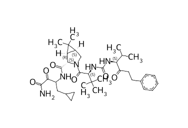 CC(C)[C@H](NC(=O)N[C@H](C(=O)N1C[C@H]2[C@@H]([C@H]1C(=O)NC(CC1CC1)C(=O)C(N)=O)C2(C)C)C(C)(C)C)C(=O)CCc1ccccc1